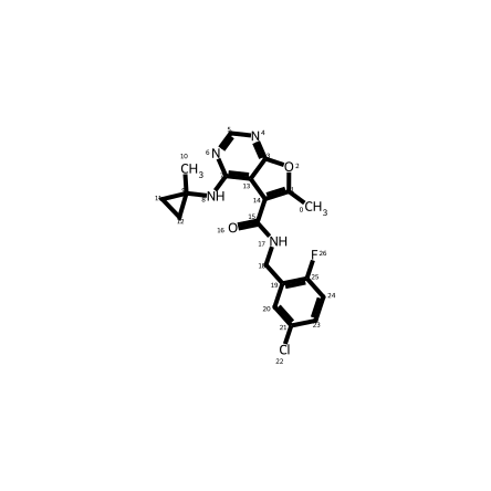 Cc1oc2ncnc(NC3(C)CC3)c2c1C(=O)NCc1cc(Cl)ccc1F